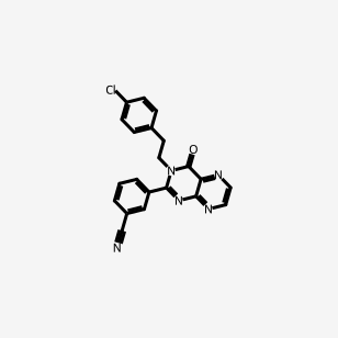 N#Cc1cccc(-c2nc3nccnc3c(=O)n2CCc2ccc(Cl)cc2)c1